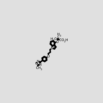 Cc1nc(-c2ccc(OCCCn3ccc4c(OC(C)(C)C(=O)O)cccc43)cc2)no1